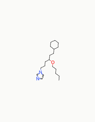 CCCCCOC(CCCn1ccnc1)CCC1CCCCC1